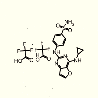 NS(=O)(=O)c1ccc(Nc2nc(NC3CC3)c3occc3n2)cc1.O=C(O)C(F)(F)F.O=C(O)C(F)(F)F